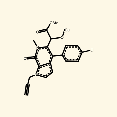 C#CCn1ccc2c(-c3ccc(Cl)cc3)c(C(OC(C)(C)C)C(=O)OC)n(C)c(=O)c21